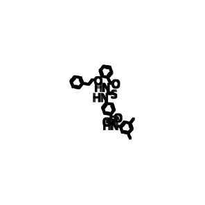 Cc1cc(C)cc(NS(=O)(=O)c2ccc(NC(=S)NC(=O)c3ccccc3OCCc3ccccc3)cc2)c1